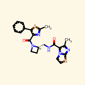 Cc1nc(C(=O)N2CC[C@H]2CNC(=O)c2c(C)nc3sccn23)c(-c2ccccc2)s1